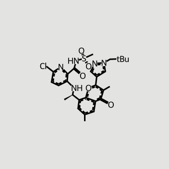 Cc1cc([C@@H](C)Nc2ccc(Cl)nc2C(=O)NS(C)(=O)=O)c2oc(-c3cnn(CC(C)(C)C)c3)c(C)c(=O)c2c1